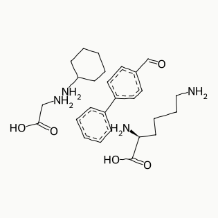 NC1CCCCC1.NCC(=O)O.NCCCC[C@H](N)C(=O)O.O=Cc1ccc(-c2ccccc2)cc1